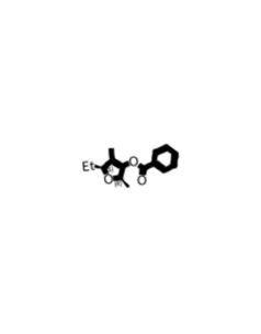 CC[C@@H]1O[C@H](C)C(OC(=O)c2ccccc2)=C1C